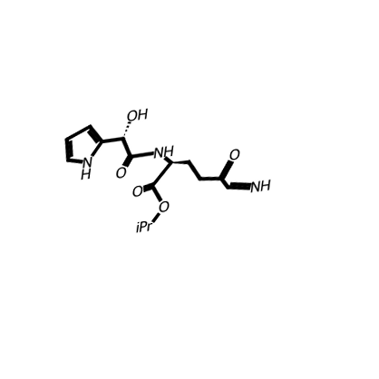 CC(C)OC(=O)[C@H](CCC(=O)C=N)NC(=O)[C@@H](O)c1ccc[nH]1